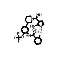 CNc1[nH]ccc1C(=N)N1CCCC(c2ccc(OC(F)(F)F)c(NC(=O)c3ccccc3F)c2)C1